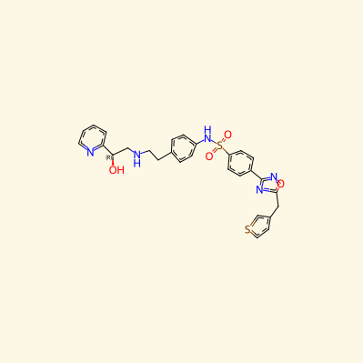 O=S(=O)(Nc1ccc(CCNC[C@@H](O)c2ccccn2)cc1)c1ccc(-c2noc(Cc3ccsc3)n2)cc1